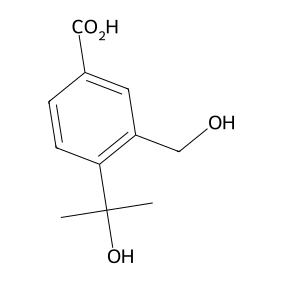 CC(C)(O)c1ccc(C(=O)O)cc1CO